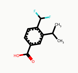 CC(C)c1cc(C(=O)O)ccc1C(F)F